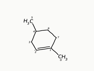 CC1=[C]CC(C)CC1